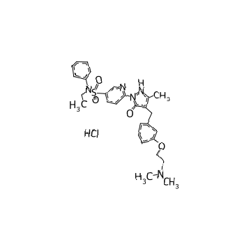 CCN(c1ccccc1)S(=O)(=O)c1ccc(-n2[nH]c(C)c(Cc3cccc(OCCN(C)C)c3)c2=O)nc1.Cl